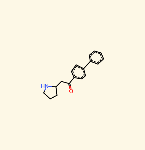 O=C(CC1CCCN1)c1ccc(-c2ccccc2)cc1